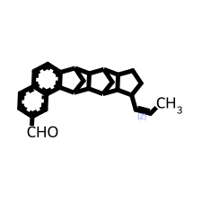 C/C=C\C1CCC2C3CC(C12)C1C2CC(c4ccc5ccc(C=O)cc5c42)C31